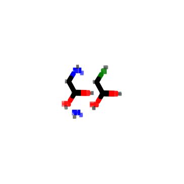 N.NCC(=O)O.O=C(O)CCl